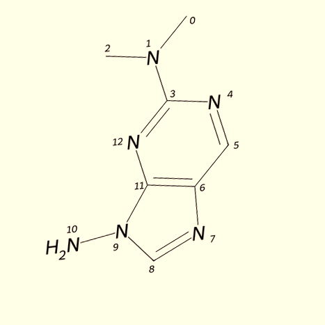 CN(C)c1ncc2ncn(N)c2n1